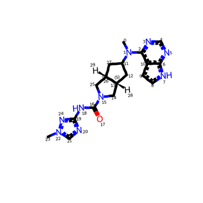 CN(c1ncnc2[nH]ccc12)C1C[C@@H]2CN(C(=O)Nc3ncn(C)n3)C[C@@H]2C1